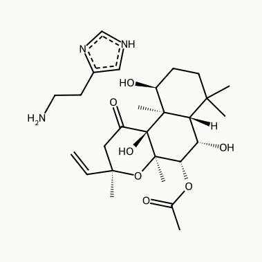 C=C[C@@]1(C)CC(=O)[C@]2(O)[C@@]3(C)[C@@H](O)CCC(C)(C)[C@@H]3[C@H](O)[C@H](OC(C)=O)[C@@]2(C)O1.NCCc1c[nH]cn1